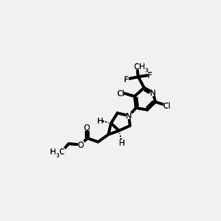 CCOC(=O)CC1[C@H]2CN(c3cc(Cl)nc(C(C)(F)F)c3Cl)C[C@@H]12